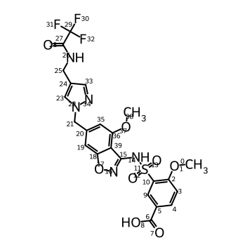 COc1ccc(C(=O)O)cc1S(=O)(=O)Nc1noc2cc(Cn3cc(CNC(=O)C(F)(F)F)cn3)cc(OC)c12